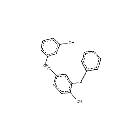 Oc1ccc(Cl)cc1Cc1ccccc1.Oc1cccc(O)c1